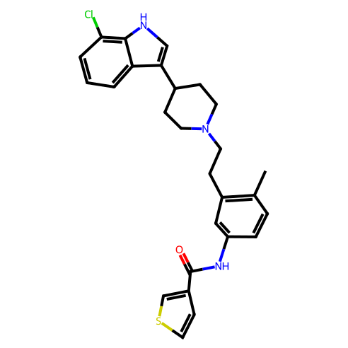 Cc1ccc(NC(=O)c2ccsc2)cc1CCN1CCC(c2c[nH]c3c(Cl)cccc23)CC1